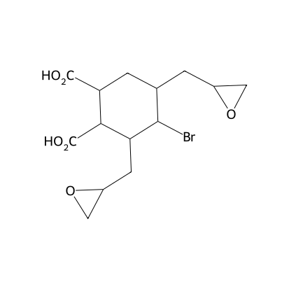 O=C(O)C1CC(CC2CO2)C(Br)C(CC2CO2)C1C(=O)O